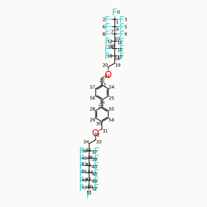 FC(F)(F)C(F)(F)C(F)(F)C(F)(F)C(F)(F)C(F)(F)CCOCc1ccc(-c2ccc(COCCC(F)(F)C(F)(F)C(F)(F)C(F)(F)C(F)(F)C(F)(F)F)cc2)cc1